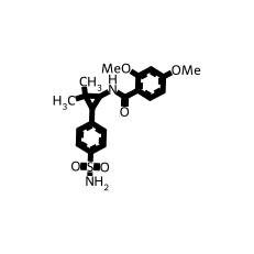 COc1ccc(C(=O)NC2C(c3ccc(S(N)(=O)=O)cc3)C2(C)C)c(OC)c1